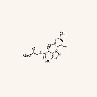 COC(=O)CONC(=O)c1c(C#N)cnn1-c1c(Cl)cc(C(F)(F)F)cc1Cl